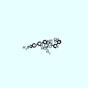 COc1ccccc1-c1cc(C(=O)Nc2nc3ccc(N4CCC(N5CCC6(CC5)CN(C)C6)CC4)cc3n2CC(C)(C)O)ccn1